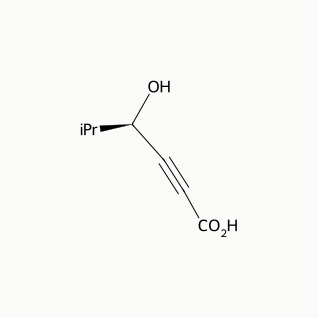 CC(C)[C@@H](O)C#CC(=O)O